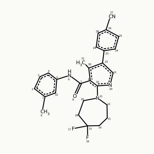 Cc1cccc(NC(=O)c2c(N3CCCC(F)(F)CC3)ncc(-c3ccc(C#N)cc3)c2C)c1